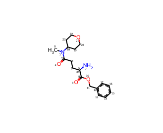 CN(C(=O)CC[C@@H](N)C(=O)OCc1ccccc1)C1CCOCC1